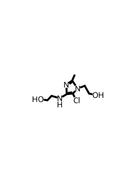 Cc1nc(NCCO)c(Cl)n1CCO